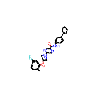 Cc1ccc(F)cc1OC1CN(c2cnc(C(=O)Nc3ccc(-c4ccccc4)cc3)cn2)C1